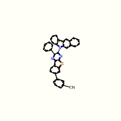 N#Cc1cccc(-c2ccc3c(c2)sc2nc(-n4c5ccccc5c5cc6ccccc6cc54)c(-c4ccccc4)nc23)c1